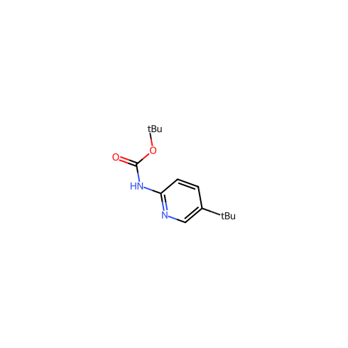 CC(C)(C)OC(=O)Nc1ccc(C(C)(C)C)cn1